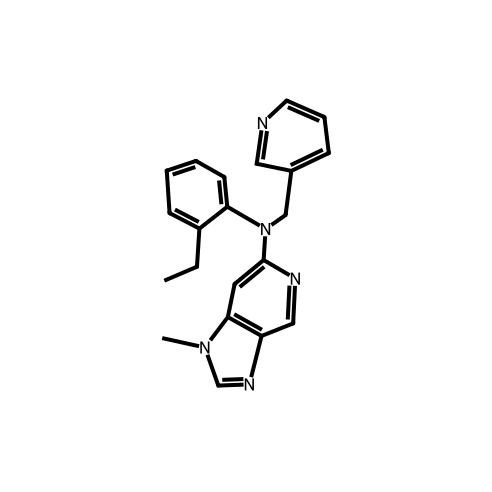 CCc1ccccc1N(Cc1cccnc1)c1cc2c(cn1)ncn2C